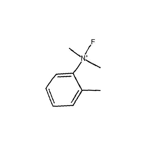 Cc1ccccc1[N+](C)(C)F